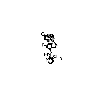 Cc1cccnc1NCc1cc(F)c(N2CC(=O)NS2(=O)=O)c2[nH]ncc12